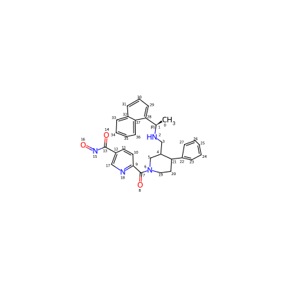 C[C@@H](NCC1CN(C(=O)c2ccc(C(=O)N=O)cn2)CCC1c1ccccc1)c1cccc2ccccc12